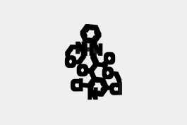 CCOC(=O)C(=CNc1ccccc1N1CCOCC1)C(=O)c1cc(Cl)cnc1Cl